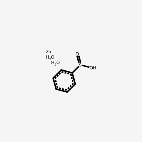 O.O.O=S(O)c1ccccc1.[Zn]